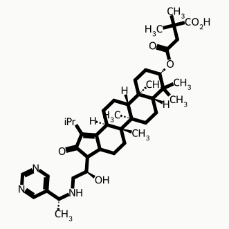 CC(C)C1=C2C(CC[C@]3(C)[C@@H]2CC[C@@H]2[C@@]4(C)CC[C@H](OC(=O)CC(C)(C)C(=O)O)C(C)(C)[C@@H]4CC[C@]23C)C([C@@H](O)CN[C@H](C)c2cncnc2)C1=O